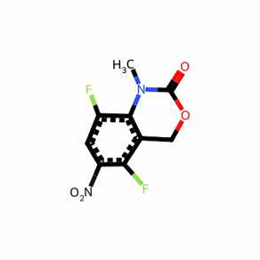 CN1C(=O)OCc2c(F)c([N+](=O)[O-])cc(F)c21